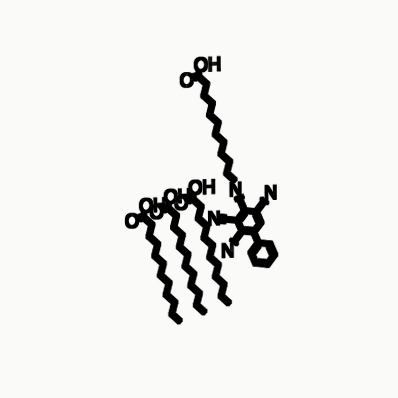 CCCCCCCCCCCC(=O)O.CCCCCCCCCCCC(=O)O.CCCCCCCCCCCC(=O)O.CCCCCCCCCCCC(=O)O.N#Cc1cc(-c2ccccc2)c(C#N)c(C#N)c1C#N